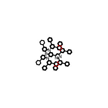 c1ccc(-c2cc(-c3ccccc3)cc(-c3cc(-c4cc5c6c(c4)N(c4cc(-c7ccccc7)cc(-c7ccccc7)c4)c4cc(C7CCCCC7)ccc4B6c4ccc(C6CCCCC6)cc4N5c4cc(-c5ccccc5)cc(-c5ccccc5)c4)nc(-c4cc(-c5ccccc5)cc(-c5ccccc5)c4)n3)c2)cc1